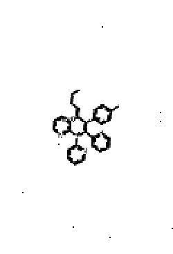 C\C=C/C=C(OC)/C(=C(\B(c1ccccn1)c1ccccn1)c1ccccn1)c1ccc(C)cc1